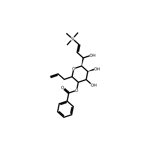 C=CCC1O[C@@H](C(O)/C=C/[Si](C)(C)C)[C@@H](O)C(O)C1OC(=O)c1ccccc1